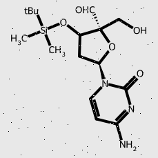 CC(C)(C)[Si](C)(C)OC1C[C@H](n2ccc(N)nc2=O)O[C@]1(C=O)CO